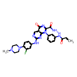 C=CC(=O)Nc1cccc(-n2c(C(N)=O)nc(=O)c3cnc(Nc4ccc(N5CCN(C)CC5)c(F)c4)nc32)c1